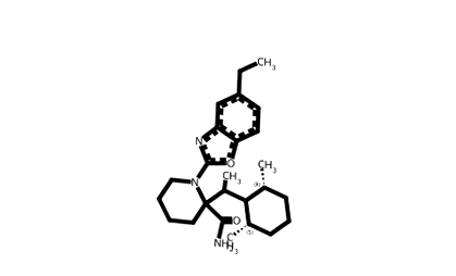 CCc1ccc2oc(N3CCCCC3(C(N)=O)C(C)C3[C@H](C)CCC[C@@H]3C)nc2c1